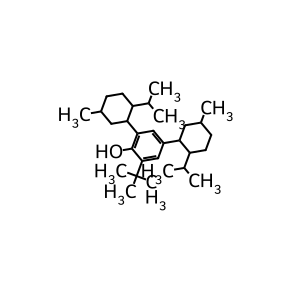 CC1CCC(C(C)C)C(c2cc(C3CC(C)CCC3C(C)C)c(O)c(C(C)(C)C)c2)C1